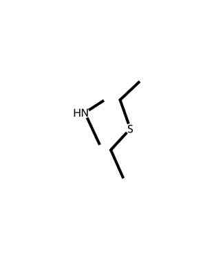 CCSCC.CNC